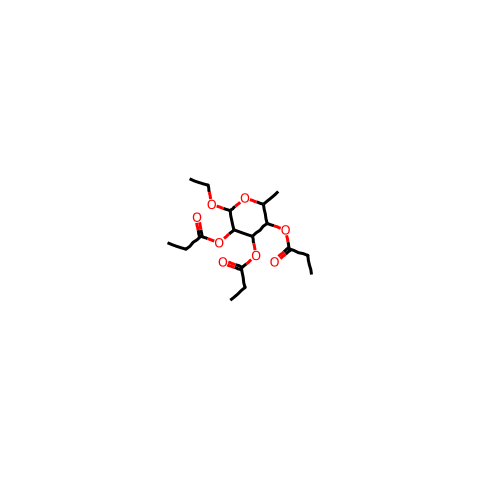 CCOC1OC(C)C(OC(=O)CC)C(OC(=O)CC)C1OC(=O)CC